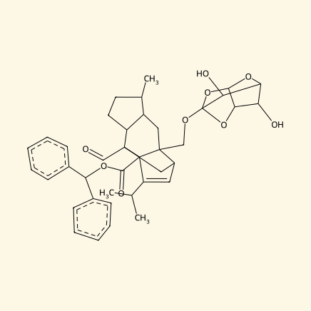 CC(C)C1=CC2CC3(C=O)C4CCC(C)C4CC2(COC24OC5OC(C(O)C5O2)C4O)C13C(=O)OC(c1ccccc1)c1ccccc1